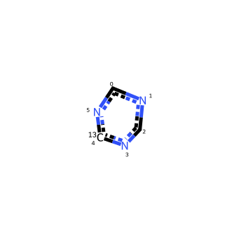 c1ncn[13cH]n1